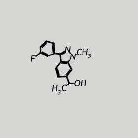 CC(O)c1ccc2c(-c3cccc(F)c3)nn(C)c2c1